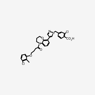 Cc1c(Cl)cccc1OCCCC(=O)N1CCCOc2c(-c3cnn(Cc4ccc(C(=O)O)c(Cl)c4)c3)cccc21